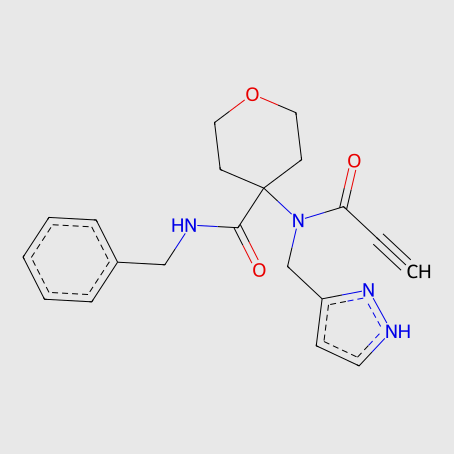 C#CC(=O)N(Cc1cc[nH]n1)C1(C(=O)NCc2ccccc2)CCOCC1